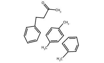 CC(=O)CCc1ccccc1.Cc1ccc(C)cc1.Cc1ccccc1